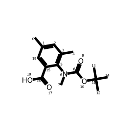 Cc1cc(C)c(N(C)C(=O)OC(C)(C)C)c(C(=O)O)c1